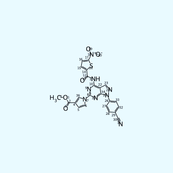 COC(=O)c1ccn(-c2nc(NC(=O)c3ccc([N+](=O)[O-])s3)c3cnn(-c4ccc(C#N)cc4)c3n2)c1